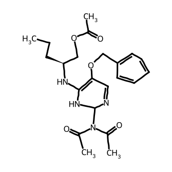 CCC[C@@H](COC(C)=O)NC1=C(OCc2ccccc2)C=NC(N(C(C)=O)C(C)=O)N1